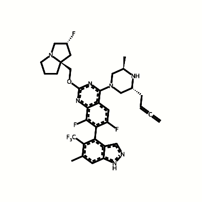 C=C=CC[C@@H]1CN(c2nc(OC[C@@]34CCCN3C[C@H](F)C4)nc3c(F)c(-c4c(C(F)(F)F)c(C)cc5[nH]ncc45)c(F)cc23)C[C@@H](C)N1